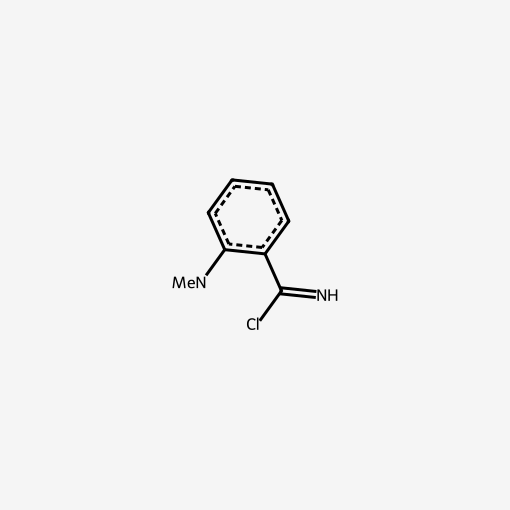 CNc1ccccc1C(=N)Cl